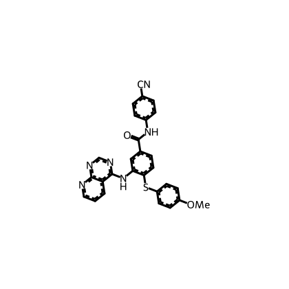 COc1ccc(Sc2ccc(C(=O)Nc3ccc(C#N)cc3)cc2Nc2ncnc3ncccc23)cc1